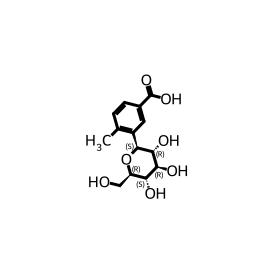 Cc1ccc(C(=O)O)cc1[C@@H]1O[C@H](CO)[C@@H](O)[C@H](O)[C@H]1O